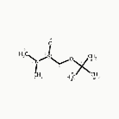 CN(C)[S+]([O-])COC(C)(C)C